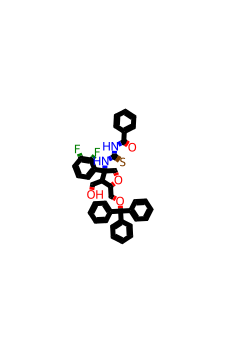 O=C(NC(=S)NC1(c2cccc(F)c2F)COC(COC(c2ccccc2)(c2ccccc2)c2ccccc2)C1CO)c1ccccc1